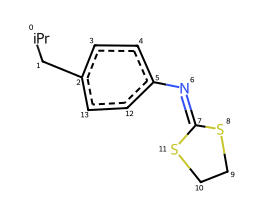 CC(C)Cc1ccc(N=C2SCCS2)cc1